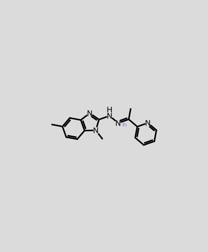 C/C(=N\Nc1nc2cc(C)ccc2n1C)c1ccccn1